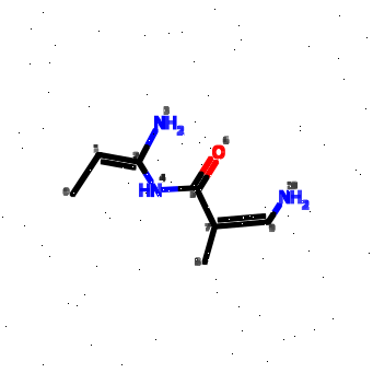 C/C=C(/N)NC(=O)/C(C)=C\N